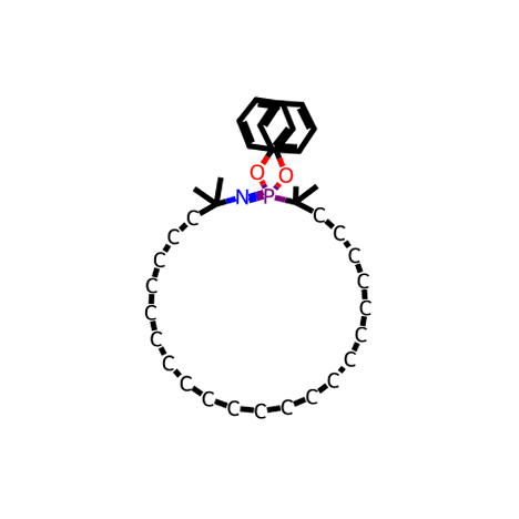 CC1(C)CCCCCCCCCCCCCCCCCCCCCC(C)(C)P(Oc2ccccc2)(Oc2ccccc2)=N1